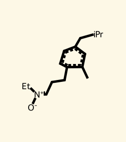 CC/[N+]([O-])=C\CCc1ccc(CC(C)C)cc1C